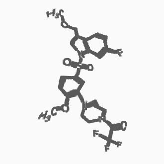 COCc1cn(S(=O)(=O)c2ccc(OC)c(N3CCN(C(=O)C(F)(F)F)CC3)c2)c2cc(F)ccc12